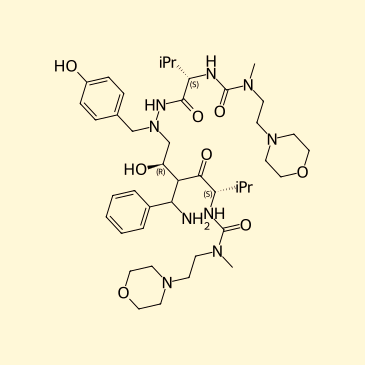 CC(C)[C@H](NC(=O)N(C)CCN1CCOCC1)C(=O)NN(Cc1ccc(O)cc1)C[C@H](O)C(C(=O)[C@@H](NC(=O)N(C)CCN1CCOCC1)C(C)C)C(N)c1ccccc1